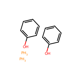 Oc1ccccc1.Oc1ccccc1.P.P